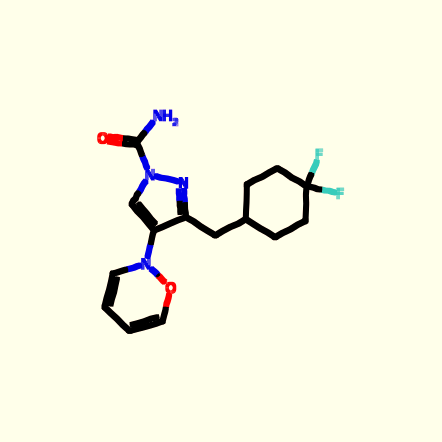 NC(=O)n1cc(N2C=CC=CO2)c(CC2CCC(F)(F)CC2)n1